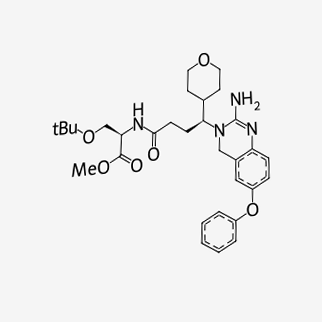 COC(=O)[C@@H](COC(C)(C)C)NC(=O)CC[C@@H](C1CCOCC1)N1Cc2cc(Oc3ccccc3)ccc2N=C1N